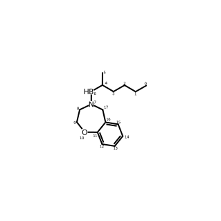 CCCCC(C)BN1CCOc2ccccc2C1